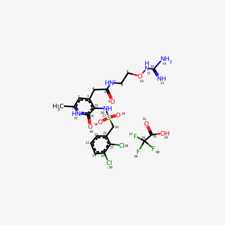 Cc1cc(CC(=O)NCCONC(=N)N)c(NS(=O)(=O)Cc2cccc(Cl)c2Cl)c(=O)[nH]1.O=C(O)C(F)(F)F